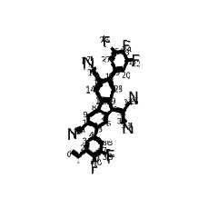 C=Cc1cc(-c2cc3c(cc2C#N)-c2cc(C#N)c(C4=CC(F)C(F)C(F)=C4)cc2C3=C(C#N)C#N)cc(F)c1F